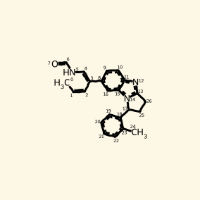 C/C=C\C(=C/NC=O)c1ccc2nc3n(c2c1)C(c1ccccc1C)CC3